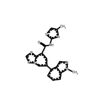 Cc1csc(NC(=O)c2cc(-c3cccc4c3cnn4C)cn3ncnc23)n1